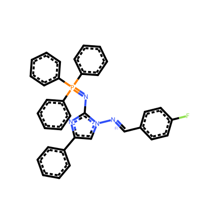 Fc1ccc(/C=N/n2cc(-c3ccccc3)nc2N=P(c2ccccc2)(c2ccccc2)c2ccccc2)cc1